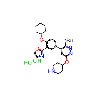 CCCCc1nnc(OC2CCNCC2)cc1-c1ccc(OC2CCCCC2)c(-c2ncco2)c1.Cl.Cl